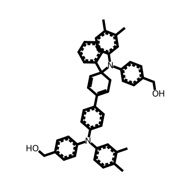 Cc1ccc(N(c2ccc(CO)cc2)c2ccc(C3=CCC(c4ccccc4)(N(c4ccc(CO)cc4)c4ccc(C)c(C)c4)C=C3)cc2)cc1C